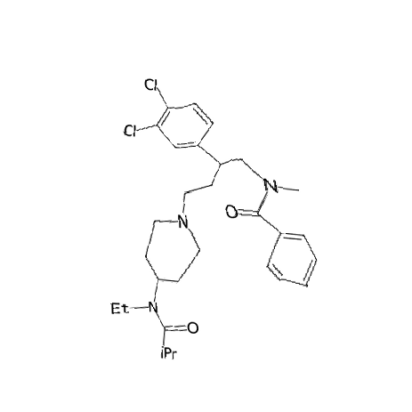 CCN(C(=O)C(C)C)C1CCN(CCC(CN(C)C(=O)c2ccccc2)c2ccc(Cl)c(Cl)c2)CC1